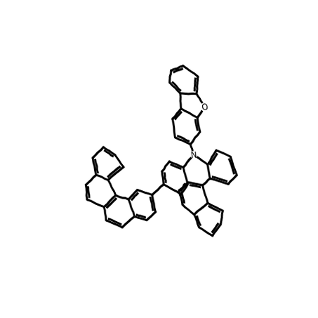 c1ccc(N(c2ccc(-c3ccc4ccc5ccc6ccccc6c5c4c3)cc2)c2ccc3c(c2)oc2ccccc23)c(-c2cccc3ccccc23)c1